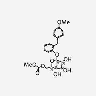 COC(=O)OC[C@H]1O[C@H](Oc2ccccc2Cc2ccc(OC)cc2)[C@H](O)[C@@H](O)[C@@H]1O